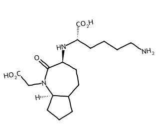 NCCCC[C@H](N[C@H]1CCC2CCC[C@H]2N(CC(=O)O)C1=O)C(=O)O